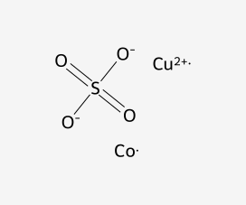 O=S(=O)([O-])[O-].[Co].[Cu+2]